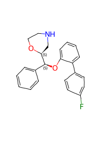 Fc1ccc(-c2ccccc2O[C@@H](c2ccccc2)[C@@H]2CNCCO2)cc1